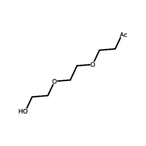 CC(=O)CCOCCOCCO